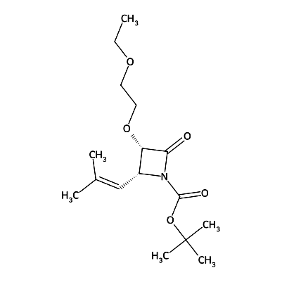 CCOCCO[C@@H]1C(=O)N(C(=O)OC(C)(C)C)[C@@H]1C=C(C)C